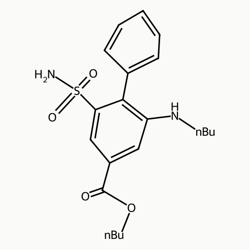 CCCCNc1cc(C(=O)OCCCC)cc(S(N)(=O)=O)c1-c1ccccc1